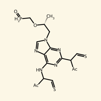 CC(=O)C(C=S)Nc1nc(C(C=S)C(C)=O)nc2c1ncn2C[C@@H](C)OC[PH2]=O